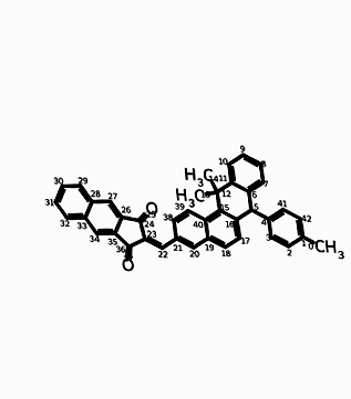 Cc1ccc(C2c3ccccc3C(C)(C)c3c2ccc2cc(C=C4C(=O)c5cc6ccccc6cc5C4=O)ccc32)cc1